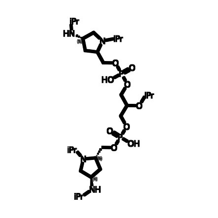 CC(C)N[C@@H]1C[C@@H](COP(=O)(O)OCC(COP(=O)(O)OCC2C[C@H](NC(C)C)CN2C(C)C)OC(C)C)N(C(C)C)C1